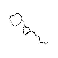 NCCCOc1cccc(CN2CCCCCCCC2)c1